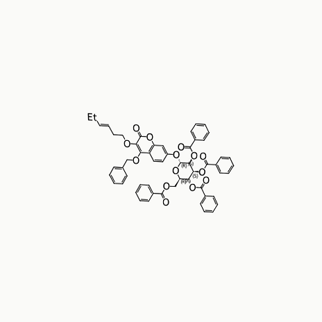 CCC=CCCOc1c(OCc2ccccc2)c2ccc(O[C@H]3O[C@H](COC(=O)c4ccccc4)[C@@H](OC(=O)c4ccccc4)[C@H](OC(=O)c4ccccc4)[C@@H]3OC(=O)c3ccccc3)cc2oc1=O